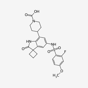 COc1ccc(S(=O)(=O)Nc2cc(C3CCN(C(=O)O)CC3)c3c(c2)C2(CCC2)C(=O)N3)c(F)c1